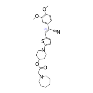 COc1ccc(/C(C#N)=C/c2ccc(N3CCC(OC(=O)CN4CCCCCC4)CC3)s2)cc1OC